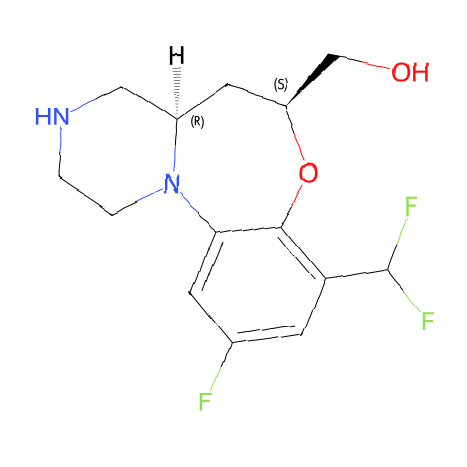 OC[C@@H]1C[C@@H]2CNCCN2c2cc(F)cc(C(F)F)c2O1